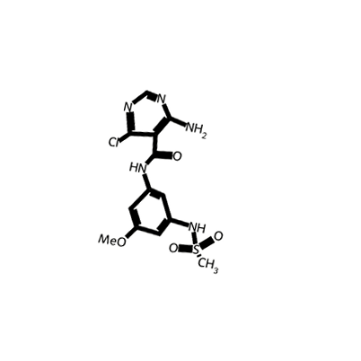 COc1cc(NC(=O)c2c(N)ncnc2Cl)cc(NS(C)(=O)=O)c1